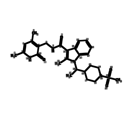 Cc1cc(C)c(CNC(=O)c2c(C)n(C(C)C3CCN(S(C)(=O)=O)CC3)c3ccccc23)c(=O)[nH]1